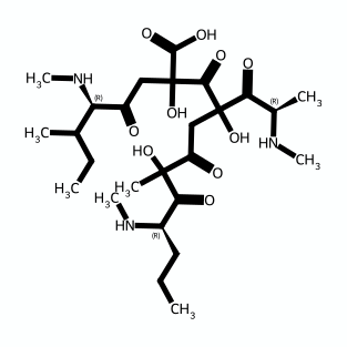 CCC[C@@H](NC)C(=O)C(C)(O)C(=O)CC(O)(C(=O)[C@@H](C)NC)C(=O)C(O)(CC(=O)[C@H](NC)C(C)CC)C(=O)O